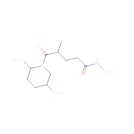 CC(CCC(=O)NO)C(=O)N1CC(O)CCC1C(=O)O